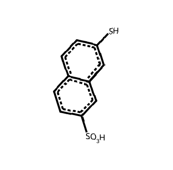 O=S(=O)(O)c1ccc2ccc(S)cc2c1